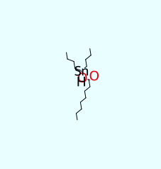 CCCCCCCC(=O)[O][SnH]([CH2]CCC)[CH2]CCC